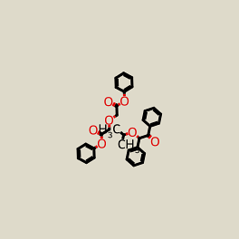 CC(C)OC(C(=O)c1ccccc1)c1ccccc1.O=C(COCC(=O)Oc1ccccc1)Oc1ccccc1